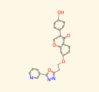 O=c1c(-c2ccc(O)cc2)coc2cc(OCCc3nnc(-c4cccnc4)o3)ccc12